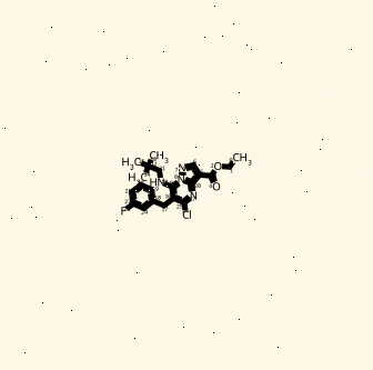 CCOC(=O)c1cnn2c(NCC(C)(C)C)c(Cc3cccc(F)c3)c(Cl)nc12